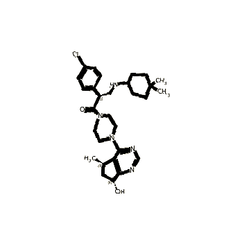 C[C@@H]1C[C@@H](O)c2ncnc(N3CCN(C(=O)[C@H](CNC4CCC(C)(C)CC4)c4ccc(Cl)cc4)CC3)c21